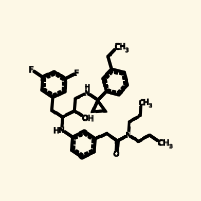 CCCN(CCC)C(=O)Cc1cccc(NC(Cc2cc(F)cc(F)c2)C(O)CNC2(c3cccc(CC)c3)CC2)c1